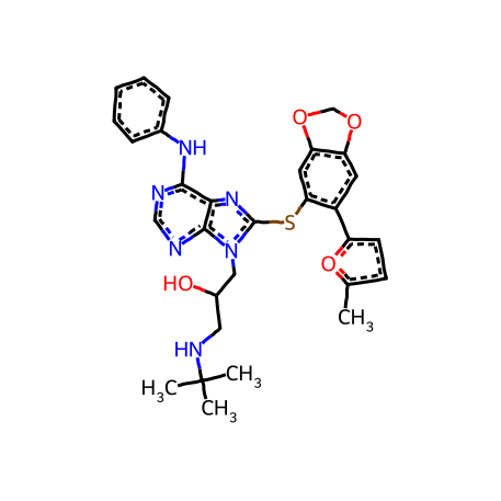 Cc1ccc(-c2cc3c(cc2Sc2nc4c(Nc5ccccc5)ncnc4n2CC(O)CNC(C)(C)C)OCO3)o1